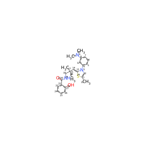 CC1=CN(c2cccc(N(C)C)c2)C(=CC(C)(C)CNC(=O)c2ccccc2O)S1